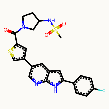 CS(=O)(=O)NC1CCN(C(=O)c2cc(-c3cnc4[nH]c(-c5ccc(F)cc5)cc4c3)cs2)C1